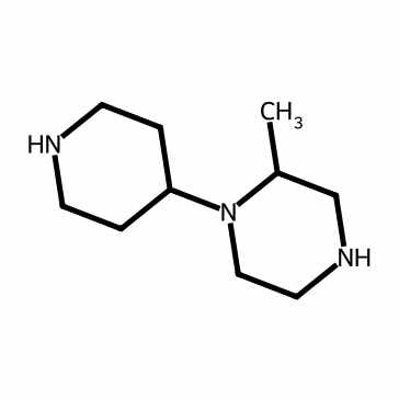 CC1CNCCN1C1CCNCC1